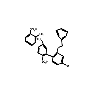 CCc1ccc(-c2cc(C)ccc2S(=O)(=O)O)c(OCc2ccccc2)c1.Cc1ccccc1S(=O)(=O)O